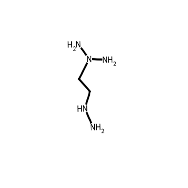 NNCCN(N)N